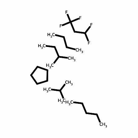 C1CCCC1.CC(C)C.CCC(C)C.CCCC.CCCCC.FC(F)CC(F)(F)F